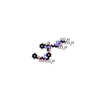 O=C(O)CC[C@H](NC(=O)N[C@@H](CCCCNC(=O)[C@H](Cc1ccccc1)NC(=O)COc1ccc(C[C@H](NC(=O)CC(=O)OCc2ccccc2)C(=O)O)cc1)C(=O)O)C(=O)O